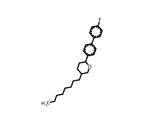 CCCCCCCCC1CCC(c2ccc(-c3ccc(F)cc3)cc2)OC1